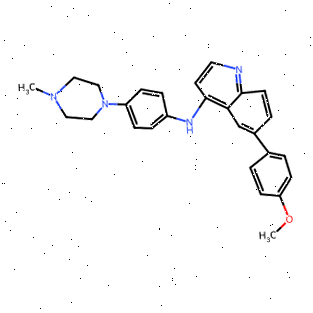 COc1ccc(-c2ccc3nccc(Nc4ccc(N5CCN(C)CC5)cc4)c3c2)cc1